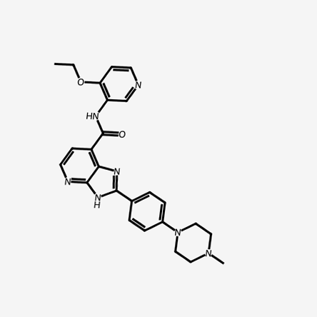 CCOc1ccncc1NC(=O)c1ccnc2[nH]c(-c3ccc(N4CCN(C)CC4)cc3)nc12